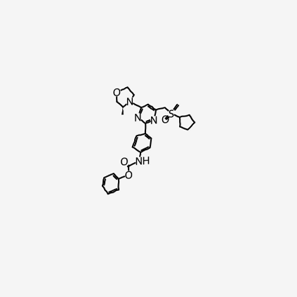 C=S(=O)(Cc1cc(N2CCOC[C@@H]2C)nc(-c2ccc(NC(=O)Oc3ccccc3)cc2)n1)C1CCCC1